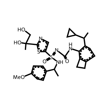 COc1ccc(C(C)NS(=O)(=NC(=O)Nc2c(C(C)C3CC3)ccc3c2CC3)c2cnc(C(C)(O)CO)s2)cc1